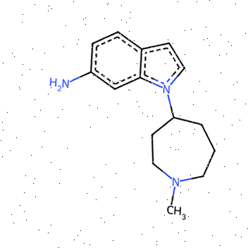 CN1CCCC(n2ccc3ccc(N)cc32)CC1